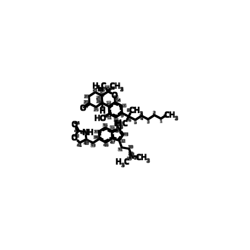 CCCCCCC(C)(C)c1cc(O)c2c(c1)OC(C)(C)[C@@H]1CCC(=O)C[C@@H]21.CN(C)CCc1c[nH]c2ccc(C[C@H]3COC(=O)N3)cc12